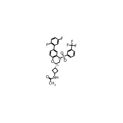 CC(=O)NC1CC([C@H]2CN(S(=O)(=O)c3cccc(C(F)(F)F)c3)c3cc(-c4cc(F)ccc4F)ccc3O2)C1